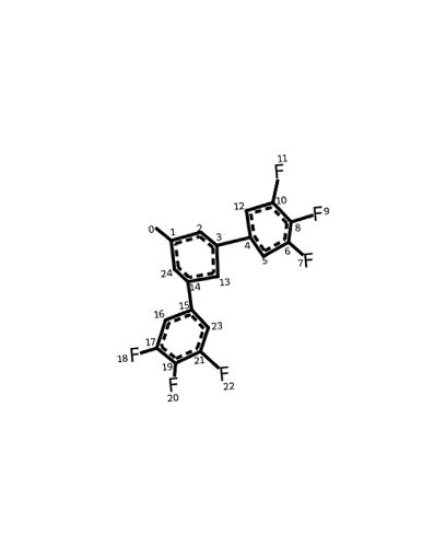 Cc1cc(-c2cc(F)c(F)c(F)c2)cc(-c2cc(F)c(F)c(F)c2)c1